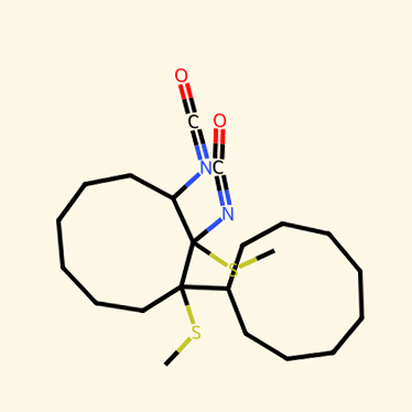 CSC1(C2CCCCCCCC2)CCCCCCC(N=C=O)C1(N=C=O)SC